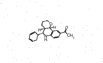 CC(=O)c1ccc2c(c1)[C@H]1OCCC[C@H]1[C@H](C1C=CC=CC1)N2